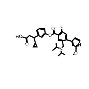 COc1cc(-c2cc(F)c(C(=O)Oc3cccc(C(CC(=O)O)C4CC4)c3)cc2CN(C(C)C)C(C)C)ccn1